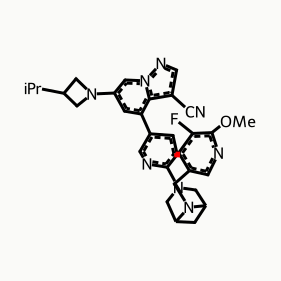 COc1ncc(CN2C3CC2CN(c2ccc(-c4cc(N5CC(C(C)C)C5)cn5ncc(C#N)c45)cn2)C3)cc1F